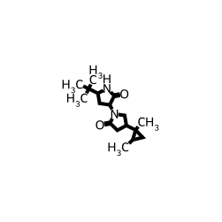 CC1CC1(C)C1CC(=O)N(C2CC(C(C)(C)C)NC2=O)C1